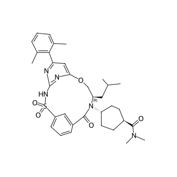 Cc1cccc(C)c1-c1cc2nc(n1)NS(=O)(=O)c1cccc(c1)C(=O)N([C@H]1CC[C@H](C(=O)N(C)C)CC1)[C@H](CC(C)C)CO2